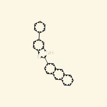 c1ccc(-c2ccc3nc(-c4ccc5cc6ccccc6cc5c4)[nH]c3c2)cc1